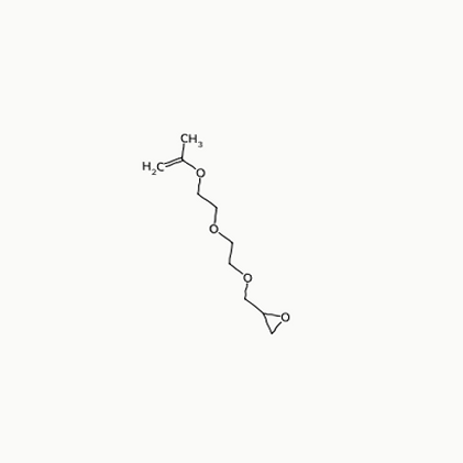 C=C(C)OCCOCCOCC1CO1